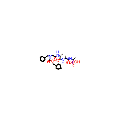 C[C@H](NC(=O)CN(Cc1ccccc1)C(=O)OCc1ccccc1)C(=O)N[C@@H](C)C(=O)N[C@@H](C)P(=O)(O)O